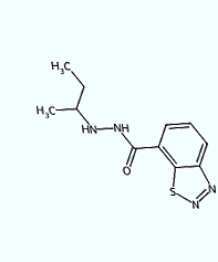 CCC(C)NNC(=O)c1cccc2nnsc12